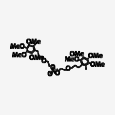 COc1c(C)c(CCCOCCO[N+](=O)OCCOCCCc2c(C)c(OC)c(OC)c(OC)c2OC)c(OC)c(OC)c1OC